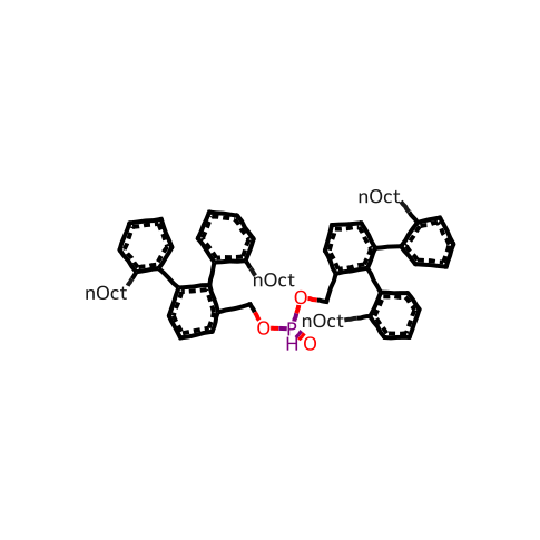 CCCCCCCCc1ccccc1-c1cccc(CO[PH](=O)OCc2cccc(-c3ccccc3CCCCCCCC)c2-c2ccccc2CCCCCCCC)c1-c1ccccc1CCCCCCCC